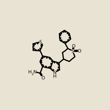 NC(=O)c1cc(-c2ccsc2)cc2c(C3CCS(=O)(=O)C(c4ccccc4)C3)c[nH]c12